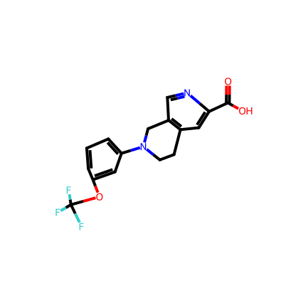 O=C(O)c1cc2c(cn1)CN(c1cccc(OC(F)(F)F)c1)CC2